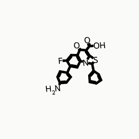 Nc1ccc(-c2cc3c(cc2F)c(=O)c(C(=O)O)c2n3C(c3ccccc3)S2)cc1